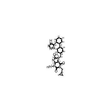 CCCn1c(=O)n(CC2CC2)c(=O)c2c1nc(C)n2Cc1ccc(-c2ccccc2-c2nnn[nH]2)cc1